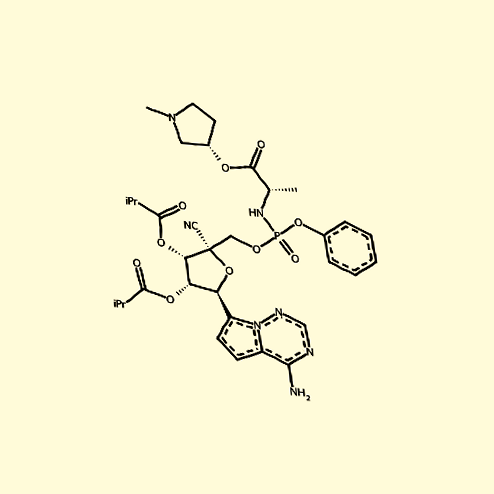 CC(C)C(=O)O[C@H]1[C@H](c2ccc3c(N)ncnn23)O[C@](C#N)(COP(=O)(N[C@@H](C)C(=O)O[C@H]2CCN(C)C2)Oc2ccccc2)[C@H]1OC(=O)C(C)C